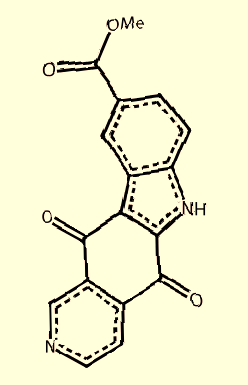 COC(=O)c1ccc2[nH]c3c(c2c1)C(=O)c1cnccc1C3=O